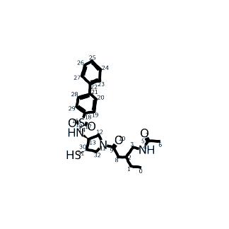 CCC(CNC(C)=O)CC(=O)N1C[C@H](NS(=O)(=O)c2ccc(-c3ccccc3)cc2)[C@@H](S)C1